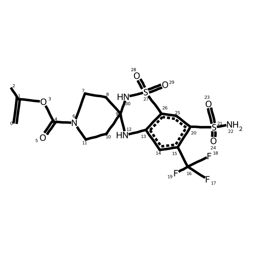 C=C(C)OC(=O)N1CCC2(CC1)Nc1cc(C(F)(F)F)c(S(N)(=O)=O)cc1S(=O)(=O)N2